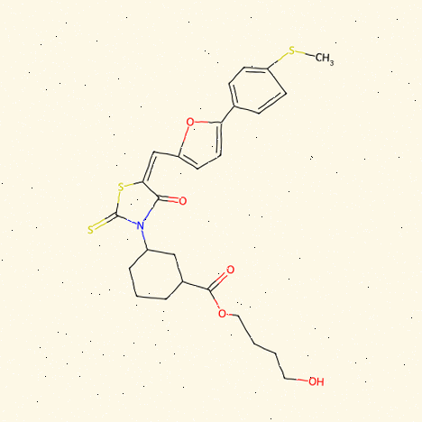 CSc1ccc(-c2ccc(/C=C3/SC(=S)N(C4CCCC(C(=O)OCCCCO)C4)C3=O)o2)cc1